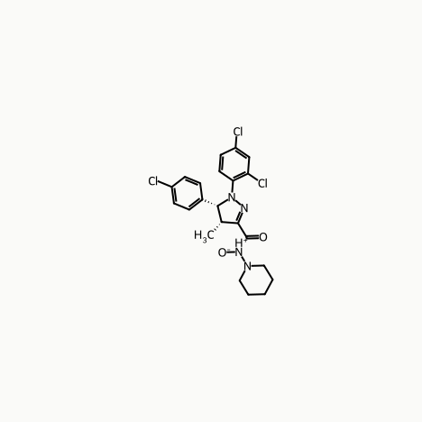 C[C@H]1C(C(=O)[NH+]([O-])N2CCCCC2)=NN(c2ccc(Cl)cc2Cl)[C@H]1c1ccc(Cl)cc1